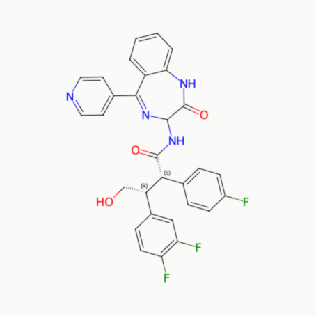 O=C1Nc2ccccc2C(c2ccncc2)=NC1NC(=O)[C@H](c1ccc(F)cc1)[C@@H](CO)c1ccc(F)c(F)c1